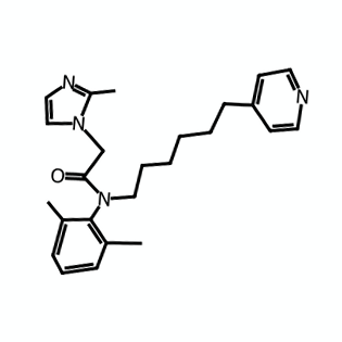 Cc1cccc(C)c1N(CCCCCCc1ccncc1)C(=O)Cn1ccnc1C